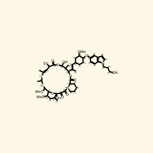 CCC1/C=C(\C)CC(C)CC(OC)C2OC(O)(C(=O)C(=O)N3CCCCC3C(=O)OC(C(C)=CC3CCC(Oc4ccc5c(ccn5CCCO)c4)C(OC)C3)C(C)C(O)CC1=O)C(C)CC2OC